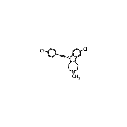 CN1CCc2c(n(C#Cc3ccc(Cl)cc3)c3ccc(Cl)cc23)CC1